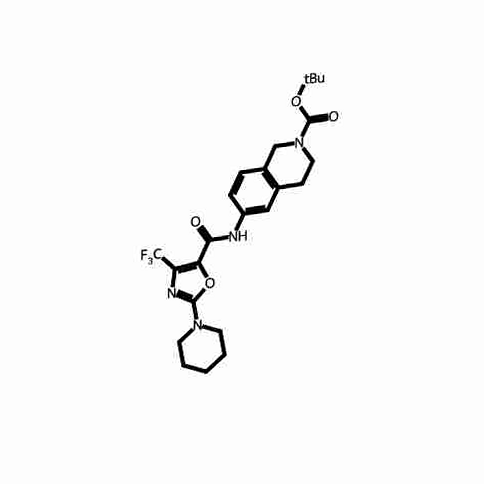 CC(C)(C)OC(=O)N1CCc2cc(NC(=O)c3oc(N4CCCCC4)nc3C(F)(F)F)ccc2C1